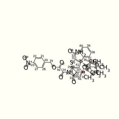 C[C@@H](O[Si](C)(C)C(C)(C)C)[C@H]1C(=O)N(C(=O)C(=O)OCc2ccc([N+](=O)[O-])cc2)[C@@H]1SC(C(N)=O)=P(c1ccccc1)(c1ccccc1)c1ccccc1